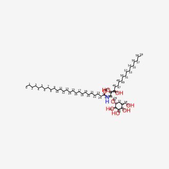 CCCCCCCCCCCCCCCCCCCCCCCCCC(=O)N[C@@H](COC1CC(CO)C(O)C(O)C1O)[C@H](O)[C@H](O)CCCCCCCCCCCCCC